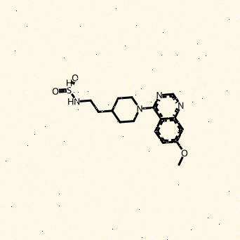 COc1ccc2c(N3CCC(CCN[SH](=O)=O)CC3)ncnc2c1